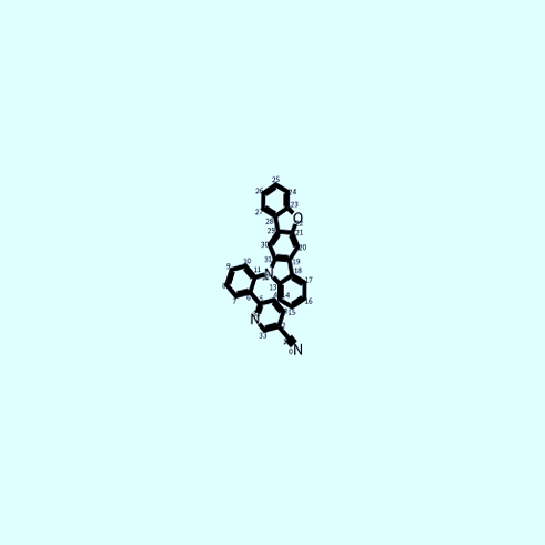 N#Cc1ccc(-c2ccccc2-n2c3ccccc3c3cc4oc5ccccc5c4cc32)nc1